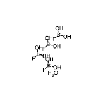 O.OB(O)F.OB(O)F.OB(O)F.OB(O)F